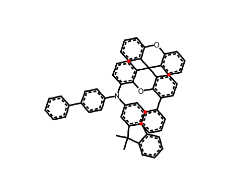 CC1(C)c2ccccc2-c2ccc(N(c3ccc(-c4ccccc4)cc3)c3cccc4c3Oc3c(-c5ccccc5)cccc3C43c4ccccc4Oc4ccccc43)cc21